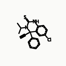 C#CC1(c2ccccc2)c2cc(Cl)ccc2NC(=S)N1C(C)C